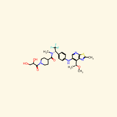 CO[C@@H](C)c1c(Nc2ccc([C@H](N(C)C(=O)C3CCN(C(=O)C(O)CO)CC3)C(F)(F)F)cc2)cnc2sc(C)nc12